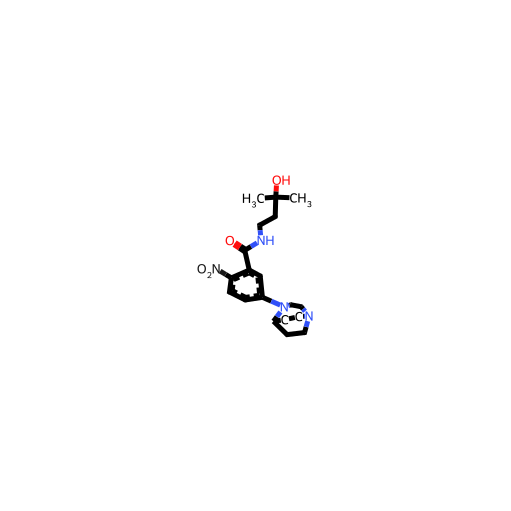 CC(C)(O)CCNC(=O)c1cc(N2CCN3CCC2CC3)ccc1[N+](=O)[O-]